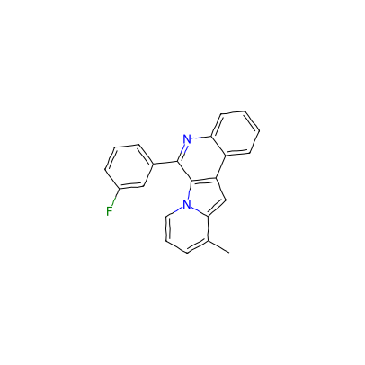 Cc1cccn2c1cc1c3ccccc3nc(-c3cccc(F)c3)c12